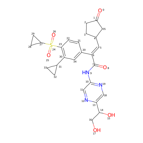 O=C1CCC(/C=C(/C(=O)Nc2cnc(C(O)CO)cn2)c2ccc(S(=O)(=O)C3CC3)c(C3CC3)c2)C1